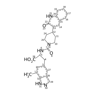 Cc1cc(CC(NC(=O)N2CCC(c3cc4ccccc4[nH]c3=O)CC2)C(=O)O)cc2cn[nH]c12